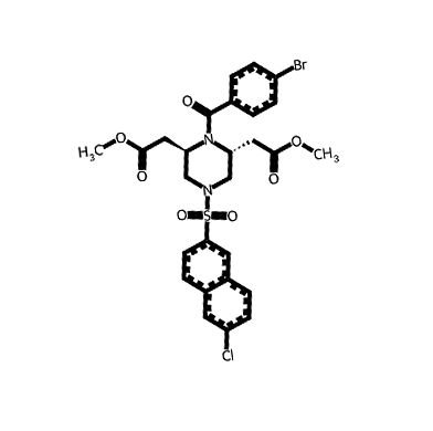 COC(=O)C[C@@H]1CN(S(=O)(=O)c2ccc3cc(Cl)ccc3c2)C[C@@H](CC(=O)OC)N1C(=O)c1ccc(Br)cc1